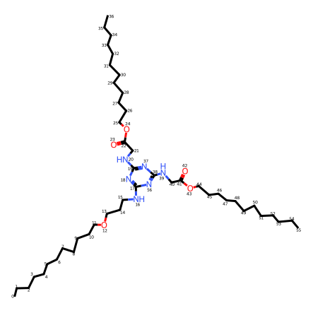 CCCCCCCCCCCCOCCCNc1nc(NCC(=O)OCCCCCCCCCCCC)nc(NCC(=O)OCCCCCCCCCCCC)n1